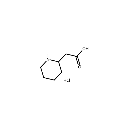 Cl.O=C(O)CC1CCCCN1